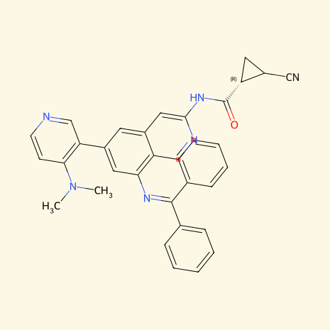 CN(C)c1ccncc1-c1cc(N=C(c2ccccc2)c2ccccc2)c2cnc(NC(=O)[C@@H]3CC3C#N)cc2c1